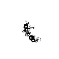 CCN1CCc2cc(NC(=O)CN3N=C(C(C)C)C4C=C(C(F)(F)F)C=CC4C3=O)ccc21